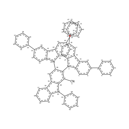 N#Cc1c(-n2c3ccc(-c4ccccc4)cc3c3cc(-c4ccccc4)ccc32)c(-n2c3ccc(-c4ccccc4)cc3c3cc(-c4ccccc4)ccc32)cc2c3ccccc3n(-c3ccccc3)c12